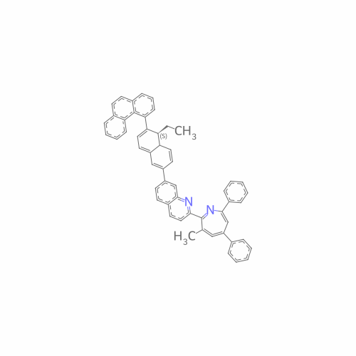 CC[C@@H]1C(c2cccc3ccc4ccccc4c23)=CC=C2C=C(c3ccc4ccc(C5=NC(c6ccccc6)=CC(c6ccccc6)=C=C5C)nc4c3)C=CC21